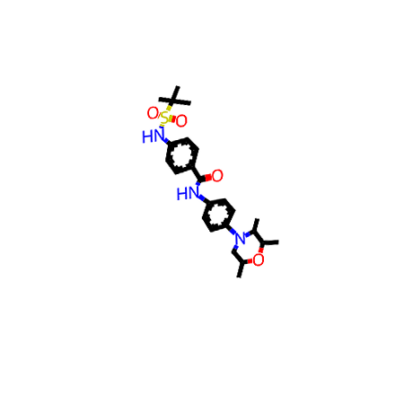 CC1CN(c2ccc(NC(=O)c3ccc(NS(=O)(=O)C(C)(C)C)cc3)cc2)C(C)C(C)O1